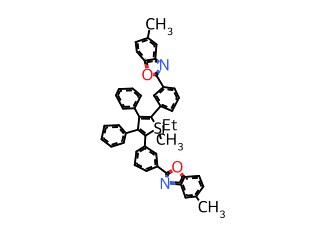 CC[Si]1(C)C(c2cccc(-c3nc4cc(C)ccc4o3)c2)=C(c2ccccc2)C(c2ccccc2)=C1c1cccc(-c2nc3cc(C)ccc3o2)c1